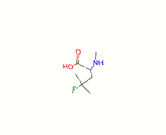 CNC(CC(C)(C)F)C(=O)O